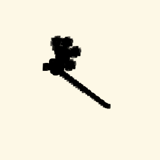 C#CC#CC#CC#CC#CC#CC#CC#CC#CC#CC#CC(=O)N[C@@H](COC1OC(COCc2ccccc2)C(OCc2ccccc2)C(OCc2ccccc2)C1OCc1ccccc1)[C@H](O)[C@H](O)CC